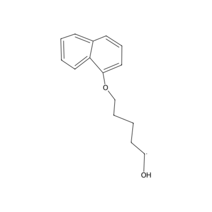 O[CH]CCCCOc1cccc2ccccc12